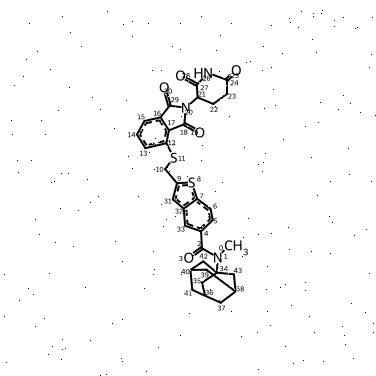 CN(C(=O)c1ccc2sc(CSc3cccc4c3C(=O)N(C3CCC(=O)NC3=O)C4=O)cc2c1)C12CC3CC(CC(C3)C1)C2